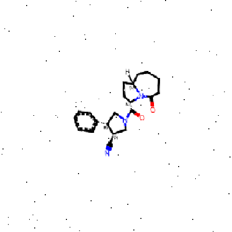 N#C[C@@H]1CN(C(=O)[C@@H]2CC[C@@H]3CCCCC(=O)N32)C[C@H]1c1ccccc1